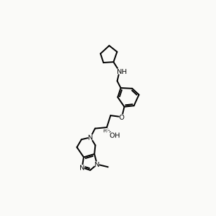 Cn1cnc2c1CN(C[C@@H](O)COc1cccc(CNC3CCCC3)c1)CC2